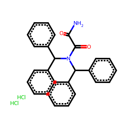 Cl.Cl.NC(=O)C(=O)N(C(c1ccccc1)c1ccccc1)C(c1ccccc1)c1ccccc1